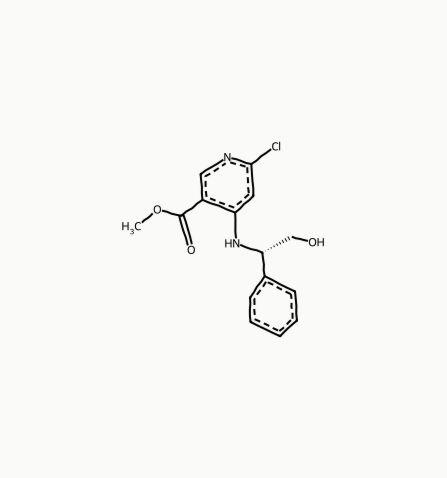 COC(=O)c1cnc(Cl)cc1N[C@H](CO)c1ccccc1